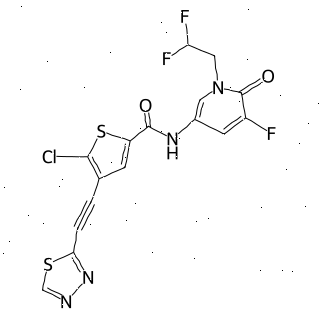 O=C(Nc1cc(F)c(=O)n(CC(F)F)c1)c1cc(C#Cc2nncs2)c(Cl)s1